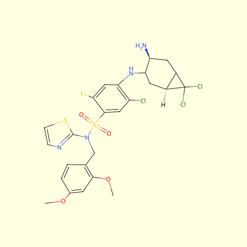 COc1ccc(CN(c2nccs2)S(=O)(=O)c2cc(Cl)c(NC3C[C@H]4C(C[C@@H]3N)C4(Cl)Cl)cc2F)c(OC)c1